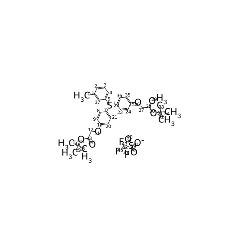 Cc1cccc([S+](c2ccc(OCC(=O)OC(C)(C)C)cc2)c2ccc(OCC(=O)OC(C)(C)C)cc2)c1.O=S(=O)([O-])C(F)(F)F